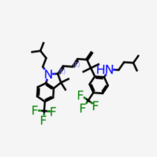 C=C(/C=C/C=C1/N(CCC(C)C)c2ccc(C(F)(F)F)cc2C1(C)C)C(C)(C)c1cc(C(F)(F)F)ccc1NCCC(C)C